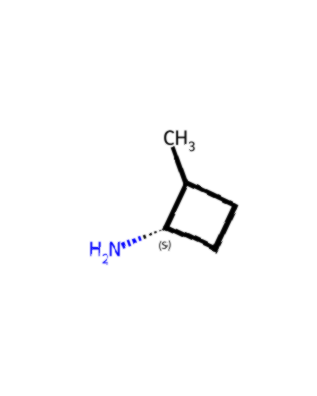 CC1CC[C@@H]1N